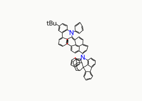 CC(C)(C)c1ccc(N(c2ccccc2)c2ccc3ccc4c(N(c5ccccc5)c5cccc6c5C5(c7ccccc7-6)C6CC7CC(C6)CC5C7)ccc5ccc2c3c54)c(-c2ccccc2)c1